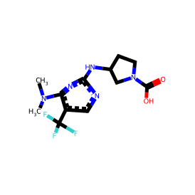 CN(C)c1nc(NC2CCN(C(=O)O)C2)ncc1C(F)(F)F